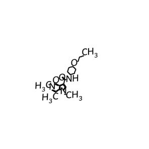 CCCCOC1CCC(NC(=O)c2cn(CC)c3c(C)cn(C)c(=O)c23)CC1